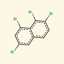 Brc1cc(Br)c2c(Br)c(Br)ccc2c1